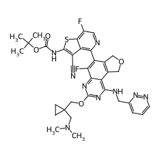 CN(C)CC1(COc2nc(NCc3cccnn3)c3c4c(c(-c5ncc(F)c6sc(NC(=O)OC(C)(C)C)c(C#N)c56)c(F)c3n2)COC4)CC1